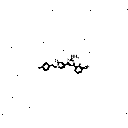 Cc1ccc(CCn2ccc(-c3cc(-c4cccc(C#N)c4C)nc(N)n3)cc2=O)cc1